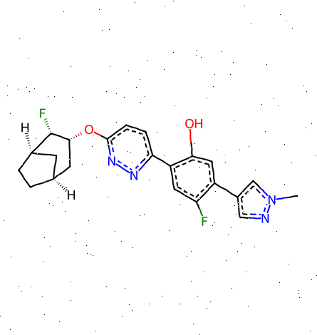 Cn1cc(-c2cc(O)c(-c3ccc(O[C@@H]4C[C@H]5CC[C@H](C5)[C@@H]4F)nn3)cc2F)cn1